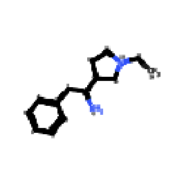 NC(Cc1ccccc1)C1CCN(CC(F)(F)F)C1